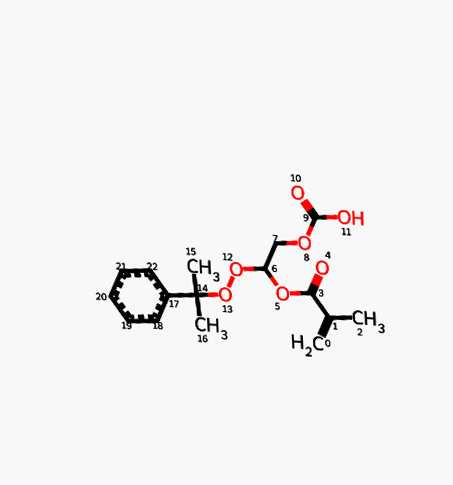 C=C(C)C(=O)OC(COC(=O)O)OOC(C)(C)c1ccccc1